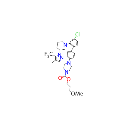 COCCCOC(=O)N1CCN(c2ccc(-c3ccc(Cl)cc3N3CCCC(n4ncc(C)c4C(F)(F)F)C3)cc2)CC1